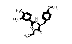 CCOC(=O)[C@H](Cc1ccc(OC)cc1)NC(=O)c1ccc(C)c(C)c1